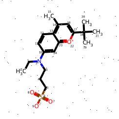 CCN(CCCS(=O)(=O)[O-])c1ccc2c(C)cc(C(C)(C)C)[o+]c2c1